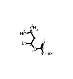 CCCCCCC(=O)OC(CC)CC(C)O